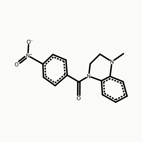 CN1CCN(C(=O)c2ccc([N+](=O)[O-])cc2)c2ccccc21